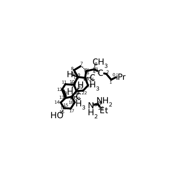 CC(C)CCC[C@@H](C)[C@H]1CC[C@H]2[C@@H]3CC=C4C[C@@H](O)CC[C@]4(C)[C@H]3CC[C@]12C.CCC(N)N